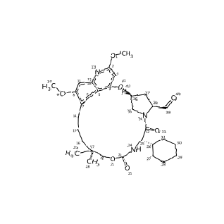 COc1cc2c3cc(c(OC)cc3n1)CCCC(C)(C)COC(=O)N[C@@H](C1CCCCC1)C(=O)N1C[C@@H](C[C@H]1C=O)O2